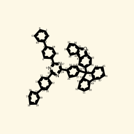 c1ccc(-c2ccc(-c3nc(-c4ccc(-c5ccccc5)cc4)nc(-c4ccc(C5(c6ccc7oc8ccccc8c7c6)c6ccccc6-c6ccccc65)cc4)n3)cc2)cc1